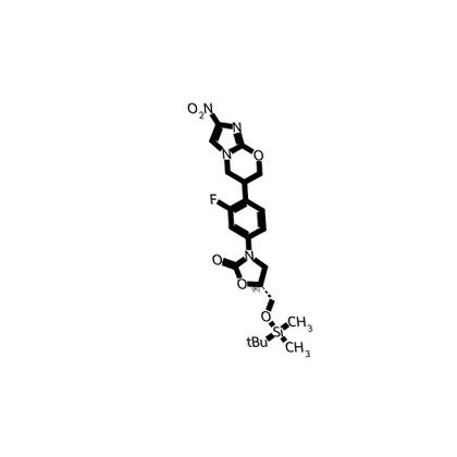 CC(C)(C)[Si](C)(C)OC[C@H]1CN(c2ccc(C3COc4nc([N+](=O)[O-])cn4C3)c(F)c2)C(=O)O1